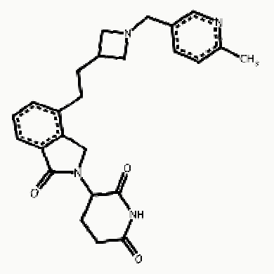 Cc1ccc(CN2CC(CCc3cccc4c3CN(C3CCC(=O)NC3=O)C4=O)C2)cn1